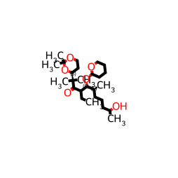 CCC(C(=O)C(C)(C)[C@@H]1CCOC(C)(C)O1)[C@@H](OC1CCCCO1)[C@@H](C)CCCC(C)O